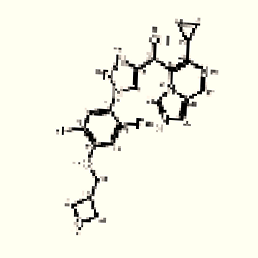 OC(c1cn(-c2cc(F)c(OCC3COC3)cc2F)nn1)c1c(C2CC2)ncc2cncn12